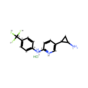 Cl.NC1CC1c1ccc(Nc2ccc(C(F)(F)F)cc2)nc1